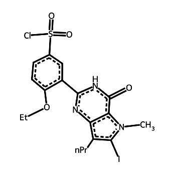 CCCc1c(I)n(C)c2c(=O)[nH]c(-c3cc(S(=O)(=O)Cl)ccc3OCC)nc12